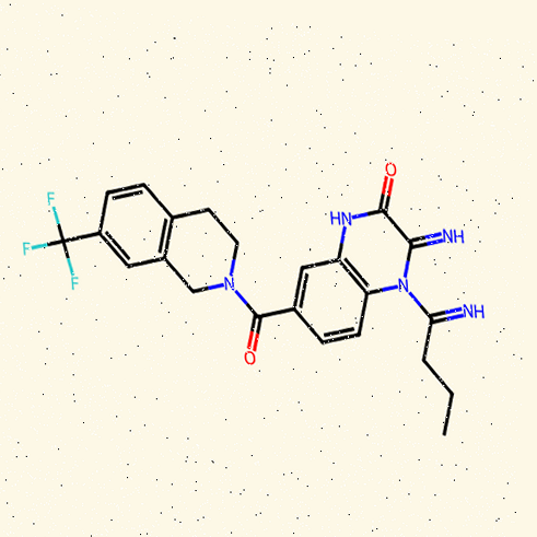 CCCC(=N)n1c(=N)c(=O)[nH]c2cc(C(=O)N3CCc4ccc(C(F)(F)F)cc4C3)ccc21